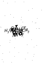 Cc1c(OCC2CC2)c(N=S(C)(C)=O)cc2ncnc(Nc3ccc(F)cc3O[C@H](C)C(F)(F)F)c12